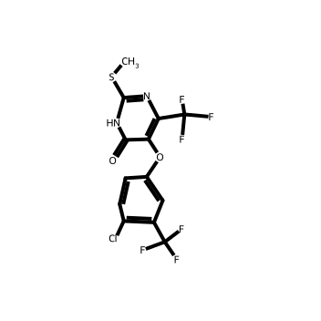 CSc1nc(C(F)(F)F)c(Oc2ccc(Cl)c(C(F)(F)F)c2)c(=O)[nH]1